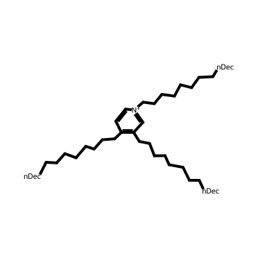 CCCCCCCCCCCCCCCCCCc1cc[n+](CCCCCCCCCCCCCCCCCC)cc1CCCCCCCCCCCCCCCCCC